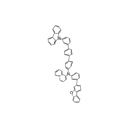 c1cc(-c2ccc3c(c2)oc2ccccc23)cc(N(c2ccc(-c3ccc(-c4cccc(-n5c6ccccc6c6ccccc65)c4)cc3)cc2)c2cccc3ccccc23)c1